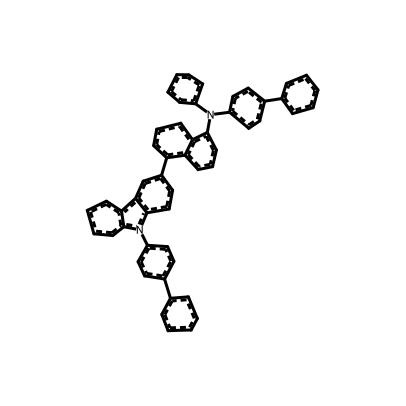 c1ccc(-c2ccc(N(c3ccccc3)c3cccc4c(-c5ccc6c(c5)c5ccccc5n6-c5ccc(-c6ccccc6)cc5)cccc34)cc2)cc1